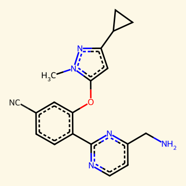 Cn1nc(C2CC2)cc1Oc1cc(C#N)ccc1-c1nccc(CN)n1